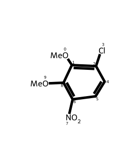 COc1c(Cl)ccc([N+](=O)[O-])c1OC